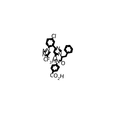 O=C(O)c1ccc(NC(=O)C(Cc2ccccc2)n2cnc(-c3cc(Cl)ccc3-n3cc(C(F)(F)F)nn3)cc2=O)cc1